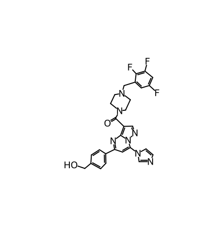 O=C(c1cnn2c(-n3ccnc3)cc(-c3ccc(CO)cc3)nc12)N1CCN(Cc2cc(F)cc(F)c2F)CC1